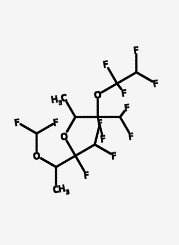 CC(OC(F)F)C(F)(OC(C)C(F)(OC(F)(F)C(F)F)C(F)F)C(F)F